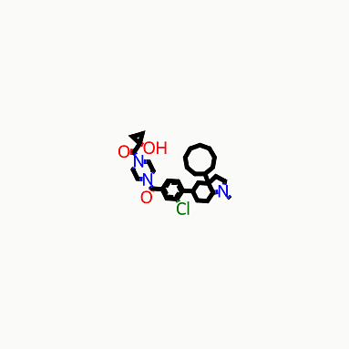 CN1CCC2(C3CCCCCCCC3)CC(c3ccc(C(=O)N4CCN(C(=O)C5(O)CC5)CC4)cc3Cl)CCC12